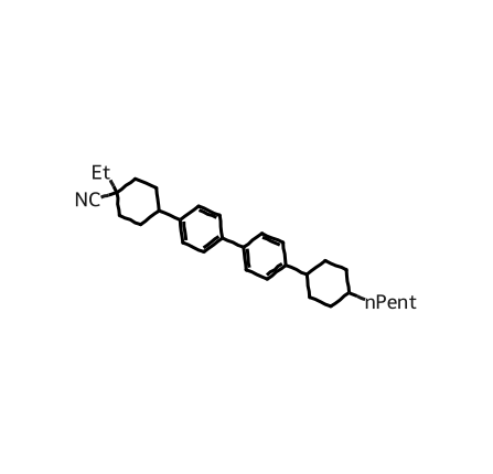 CCCCCC1CCC(c2ccc(-c3ccc(C4CCC(C#N)(CC)CC4)cc3)cc2)CC1